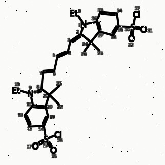 CCN1/C(=C/C=C/C=C/C2=[N+](CC)c3ccc(S(=O)(=O)Cl)cc3C2(C)C)C(C)(C)c2cc(S(=O)(=O)Cl)ccc21